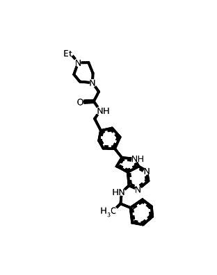 CCN1CCN(CC(=O)NCc2ccc(-c3cc4c(NC(C)c5ccccc5)ncnc4[nH]3)cc2)CC1